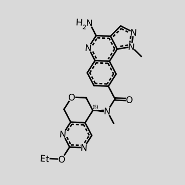 CCOc1ncc2c(n1)COC[C@H]2N(C)C(=O)c1ccc2nc(N)c3cnn(C)c3c2c1